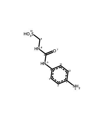 Nc1ccc(NC(=O)NCS(=O)(=O)O)cc1